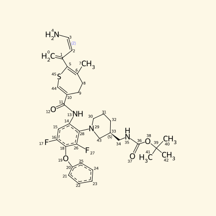 C=C(/C=C\N)C1=C(C)CCC(C(=O)Nc2cc(F)c(Oc3ccccc3)c(F)c2N2CCC[C@@H](CNC(=O)OC(C)(C)C)C2)=CS1